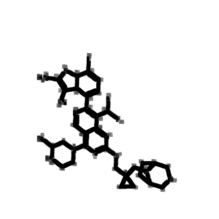 CCC1CN(c2nc(OCC3(CN4C5CCC4COC5)CC3)nc3c(C(F)F)c(C4=CC=C(F)C5SC(N)=C(C#N)C45)ncc23)CCN1